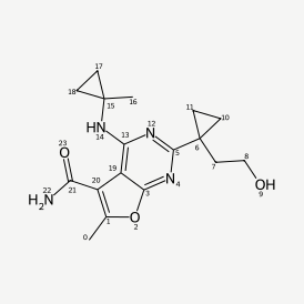 Cc1oc2nc(C3(CCO)CC3)nc(NC3(C)CC3)c2c1C(N)=O